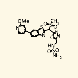 COc1cc(-c2ccc3nc(C(c4nnc(CNS(N)(=O)=O)o4)S(C)(=O)=O)sc3c2)ccn1